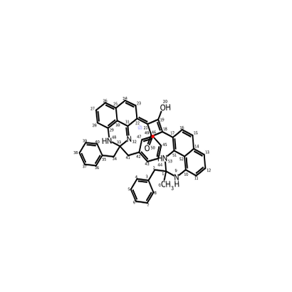 CC1(Cc2ccccc2)Nc2cccc3ccc(C4=C(O)/C(=c5\ccc6cccc7c6c5=NC(Cc5ccccc5)(Cc5ccccc5)N7)C4=O)c(c23)N1